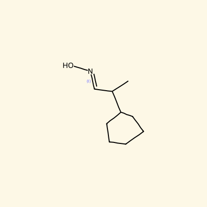 CC(/C=N/O)C1CCCCC1